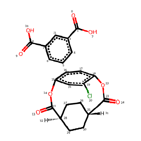 O=C(O)c1cccc(C(=O)O)c1.O=C1Oc2ccc(c(Cl)c2)OC(=O)[C@H]2CC[C@H]1CC2